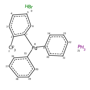 Br.FC(F)(F)c1cccc[c]1[Pd]([c]1ccccc1)[c]1ccccc1.P